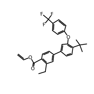 C=COC(=O)c1ccc(-c2ccc(C(C)(C)C)c(Oc3ccc(C(F)(F)F)cc3)c2)cc1CC